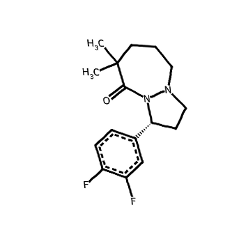 CC1(C)CCCN2CC[C@H](c3ccc(F)c(F)c3)N2C1=O